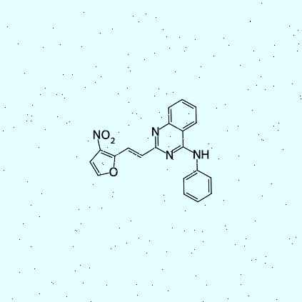 O=[N+]([O-])c1ccoc1C=Cc1nc(Nc2ccccc2)c2ccccc2n1